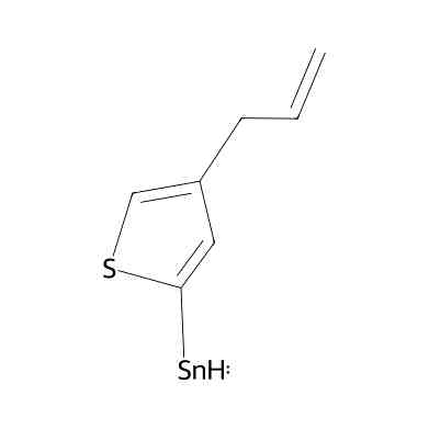 C=CCc1cs[c]([SnH])c1